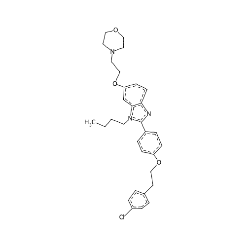 CCCCn1c(-c2ccc(OCCc3ccc(Cl)cc3)cc2)nc2ccc(OCCN3CCOCC3)cc21